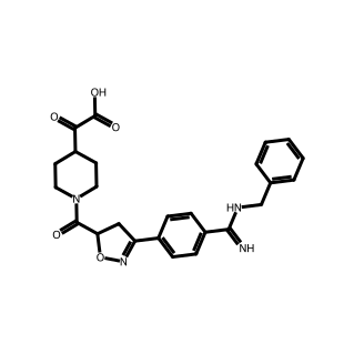 N=C(NCc1ccccc1)c1ccc(C2=NOC(C(=O)N3CCC(C(=O)C(=O)O)CC3)C2)cc1